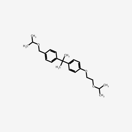 CC(C)OCCOc1ccc(C(C)(C)c2ccc(COC(C)C)cc2)cc1